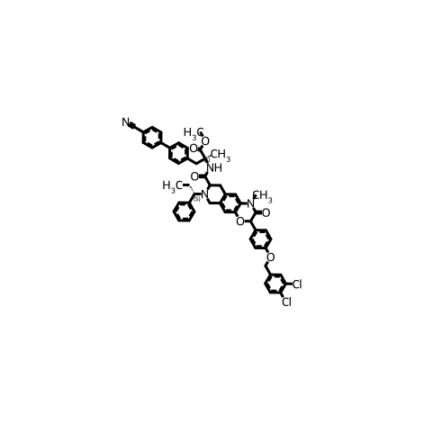 CC[C@@H](c1ccccc1)N1Cc2cc3c(cc2CC1C(=O)N[C@@](C)(Cc1ccc(-c2ccc(C#N)cc2)cc1)C(=O)OC)N(C)C(=O)C(c1ccc(OCc2ccc(Cl)c(Cl)c2)cc1)O3